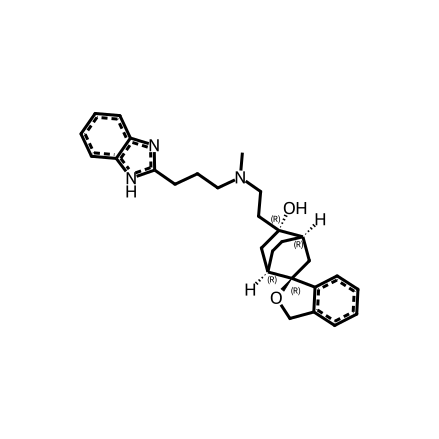 CN(CCCc1nc2ccccc2[nH]1)CC[C@]1(O)C[C@H]2CC[C@@H]1C[C@@]21OCc2ccccc21